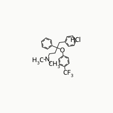 CN(C)CCC(Cc1ccccc1)(Oc1ccc(C(F)(F)F)cc1)c1ccccc1.Cl